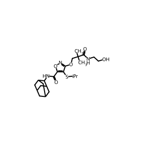 CC(C)Sc1c(OCC(C)(C)C(=O)NCCO)noc1C(=O)NC1C2CC3CC(C2)CC1C3